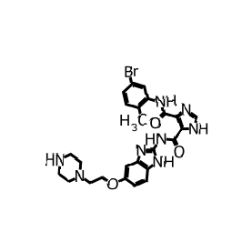 Cc1ccc(Br)cc1NC(=O)c1nc[nH]c1C(=O)Nc1nc2cc(OCCN3CCNCC3)ccc2[nH]1